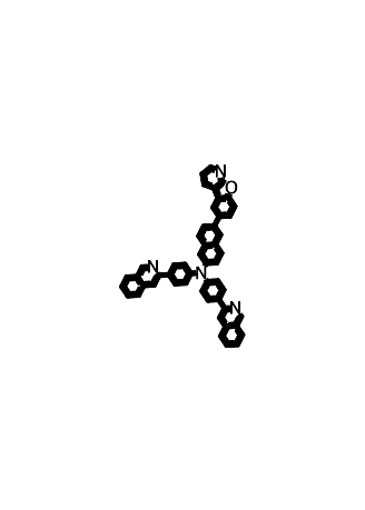 c1ccc2cc(-c3ccc(N(c4ccc(-c5cc6ccccc6cn5)cc4)c4ccc5cc(-c6ccc7oc8ncccc8c7c6)ccc5c4)cc3)ncc2c1